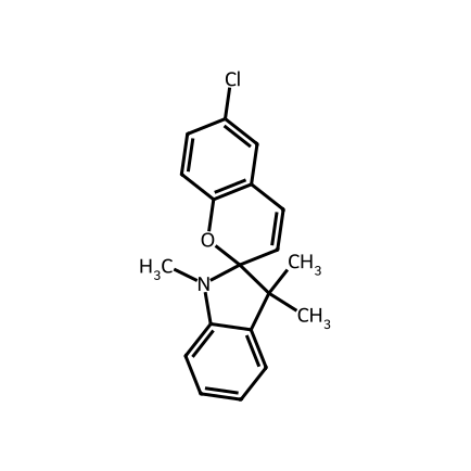 CN1c2ccccc2C(C)(C)C12C=Cc1cc(Cl)ccc1O2